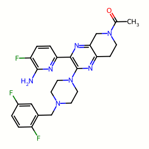 CC(=O)N1CCc2nc(N3CCN(Cc4cc(F)ccc4F)CC3)c(-c3ccc(F)c(N)n3)nc2C1